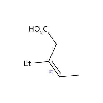 C/C=C(/CC)CC(=O)O